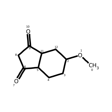 COC1CCC2C(=O)CC(=O)C2C1